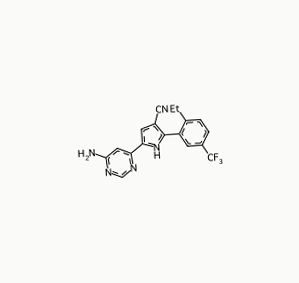 CCc1ccc(C(F)(F)F)cc1-c1[nH]c(-c2cc(N)ncn2)cc1C#N